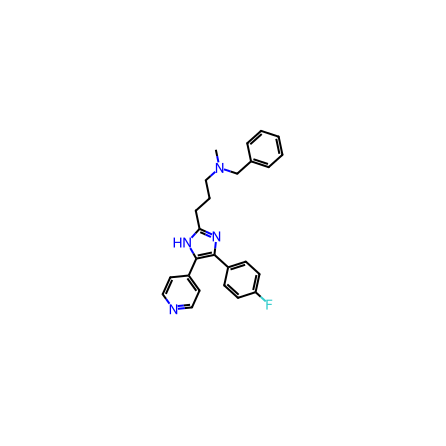 CN(CCCc1nc(-c2ccc(F)cc2)c(-c2ccncc2)[nH]1)Cc1ccccc1